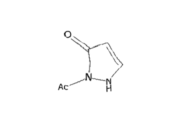 CC(=O)n1[nH]ccc1=O